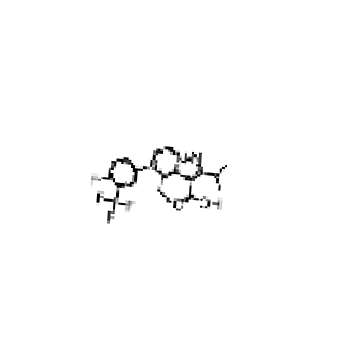 CCc1c(-c2ccc(F)c(C(F)(F)F)c2)ccn2nc(C(C)C)c(C(=O)O)c12